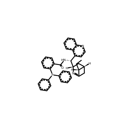 CC[C@H]1C2=N[C@H]([C@H](NC(=O)c3ccccc3P(c3ccccc3)c3ccccc3)c3ccnc4ccccc34)C[C@@H]1C2